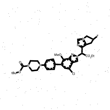 CCOC(=O)C(c1ncn2c1CC(F)C2)n1cc2c(Cl)cc(-c3ccc(N4CCN(C(=O)OC(C)(C)C)CC4)cc3)c(OC)c2n1